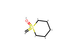 C=S1(=O)CCCCC1